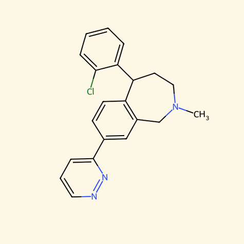 CN1CCC(c2ccccc2Cl)c2ccc(-c3cccnn3)cc2C1